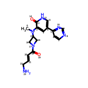 CN(c1cc(-c2ccncn2)c[nH]c1=O)C1CN(C(=O)/C=C/CN)C1